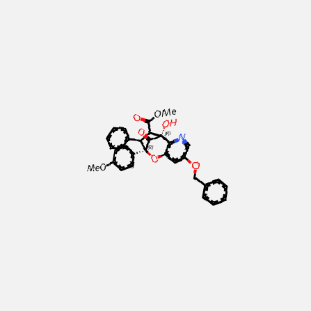 COC(=O)C1C(c2ccccc2)[C@]2(c3ccc(OC)cc3)Oc3cc(OCc4ccccc4)cnc3[C@@]1(O)C2=O